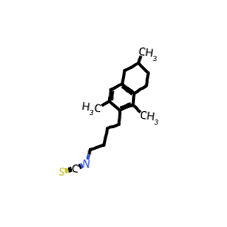 Cc1cc2c(c(C)c1CCCCN=C=S)CCC(C)C2